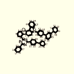 C1=CC2c3c(cccc3-c3nc(-c4ccccc4)nc(-c4ccc(-c5ccccc5)cc4)n3)OC2c2c1n(-c1ccc(-c3cccc(-c4ccccc4)c3)cc1)c1ccccc21